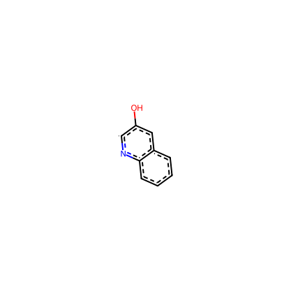 Oc1[c]nc2ccccc2c1